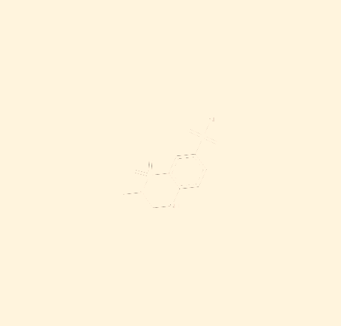 NS(=O)(=O)c1ccc2c(c1)S(=O)(=O)N(Cl)CN2